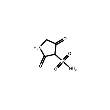 NS(=O)(=O)C1C(=O)C[SH4]C1=O